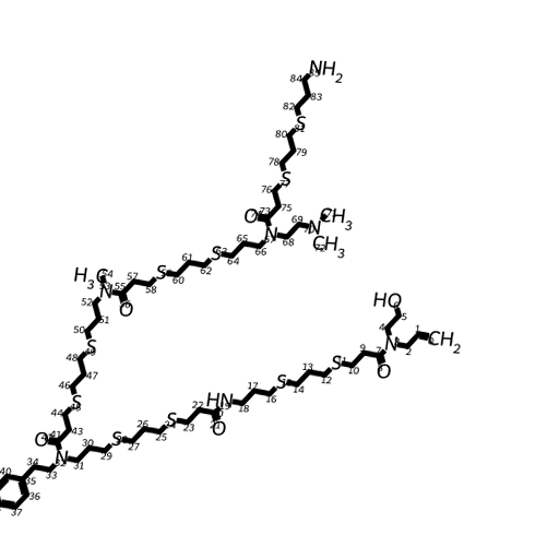 C=CCN(CCO)C(=O)CCSCCCSCCCNC(=O)CCSCCCSCCCN(CCc1ccccc1)C(=O)CCSCCCSCCCN(C)C(=O)CCSCCCSCCCN(CCN(C)C)C(=O)CCSCCCSCCCN